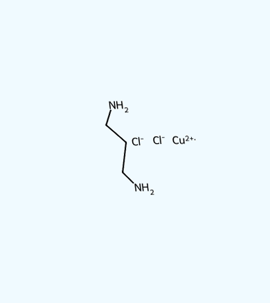 NCCCN.[Cl-].[Cl-].[Cu+2]